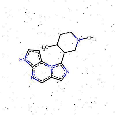 CC1CCN(C)CC1c1ncc2cnc3[nH]ccc3n12